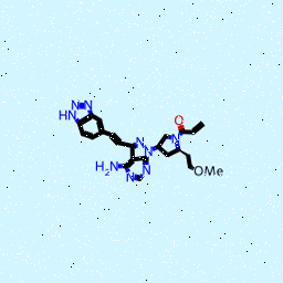 C=CC(=O)N1CC(n2nc(C#Cc3ccc4[nH]nnc4c3)c3c(N)ncnc32)C[C@@H]1CCOC